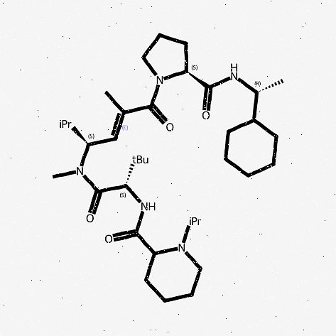 C/C(=C\[C@H](C(C)C)N(C)C(=O)[C@@H](NC(=O)C1CCCCN1C(C)C)C(C)(C)C)C(=O)N1CCC[C@H]1C(=O)N[C@H](C)C1CCCCC1